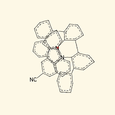 N#Cc1ccc2c(c1)c1ccccc1n2-c1c(-c2ccccc2)cccc1-c1cccc(-c2ccccc2)c1-n1c2ccccc2c2ccccc21